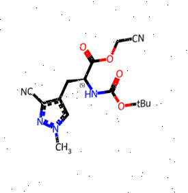 Cn1cc(C[C@H](NC(=O)OC(C)(C)C)C(=O)OCC#N)c(C#N)n1